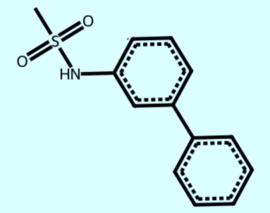 CS(=O)(=O)Nc1[c]ccc(-c2ccccc2)c1